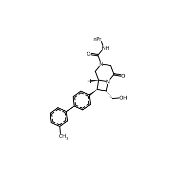 CCCNC(=O)N1CC(=O)N2[C@H](CO)[C@@H](c3ccc(-c4cccc(C)c4)cc3)[C@@H]2C1